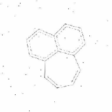 C1=Cc2cccc3cccc(c23)C=C1